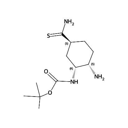 CC(C)(C)OC(=O)N[C@@H]1C[C@@H](C(N)=S)CC[C@@H]1N